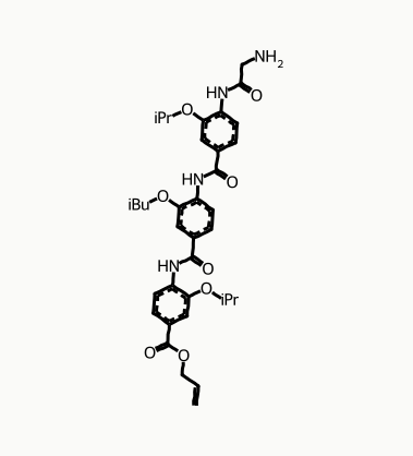 C=CCOC(=O)c1ccc(NC(=O)c2ccc(NC(=O)c3ccc(NC(=O)CN)c(OC(C)C)c3)c(OC(C)CC)c2)c(OC(C)C)c1